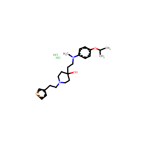 CC(C)Oc1ccc(N(C)CCC2(O)CCN(CCc3ccsc3)CC2)cc1.Cl.Cl